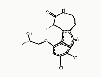 C[C@H](O)COc1cc(Cl)c(Cl)c2[nH]c3c(c12)[C@H](C)C(=O)NCC3